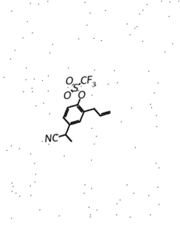 C=CCc1cc(C(C)C#N)ccc1OS(=O)(=O)C(F)(F)F